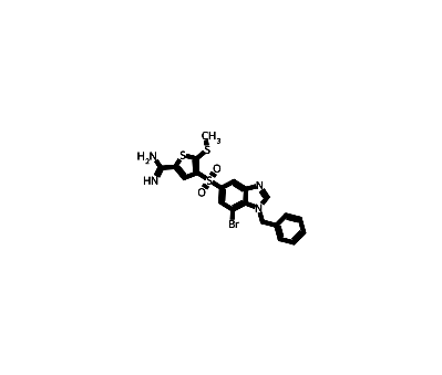 CSc1sc(C(=N)N)cc1S(=O)(=O)c1cc(Br)c2c(c1)ncn2Cc1ccccc1